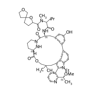 CCn1c(-c2cccnc2[C@H](C)OC)c2c3cc(ccc31)-c1cc(O)cc(c1)C[C@H](NC(=O)C(C(C)C)N(C)C(=O)C1CCC3(CCOC3)O1)C(=O)N1CCC[C@H](N1)C(=O)OCC(C)(C)C2